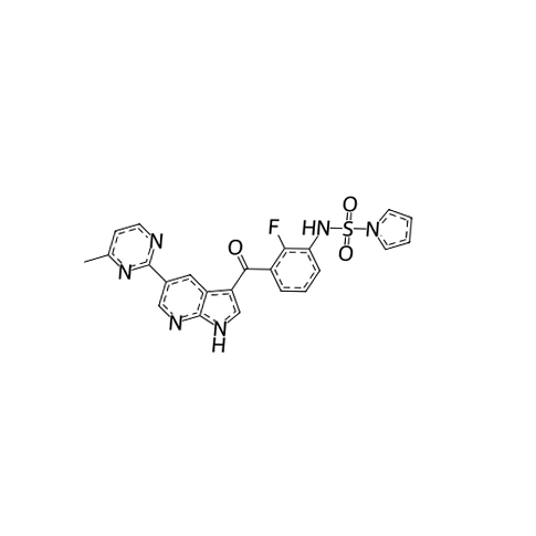 Cc1ccnc(-c2cnc3[nH]cc(C(=O)c4cccc(NS(=O)(=O)n5cccc5)c4F)c3c2)n1